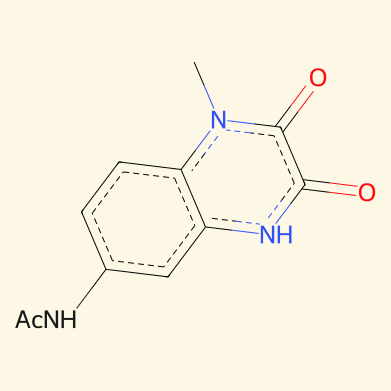 CC(=O)Nc1ccc2c(c1)[nH]c(=O)c(=O)n2C